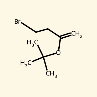 C=C(CCBr)OC(C)(C)C